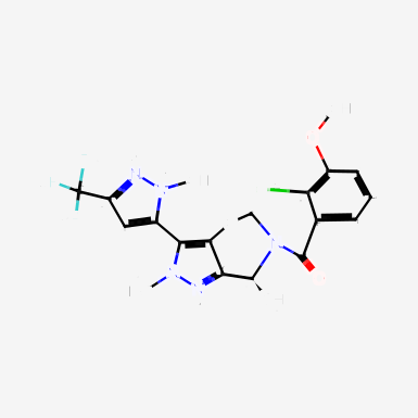 COc1cccc(C(=O)N2CCc3c(nn(C)c3-c3cc(C(F)(F)F)nn3C)[C@@H]2C)c1Cl